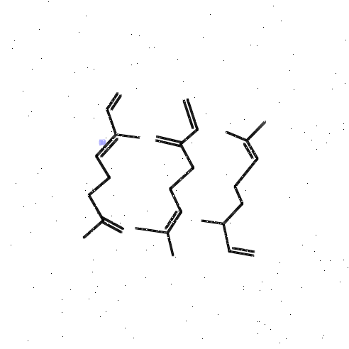 C=C/C(C)=C/CCC(=C)C.C=CC(=C)CCC=C(C)C.C=CC(C)CCC=C(C)C